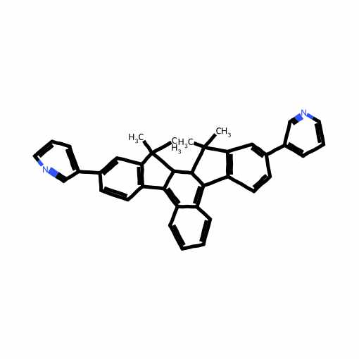 CC1(C)c2cc(-c3cccnc3)ccc2C2=c3ccccc3=C3c4ccc(-c5cccnc5)cc4C(C)(C)C3C21